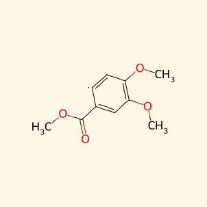 COC(=O)c1[c]cc(OC)c(OC)c1